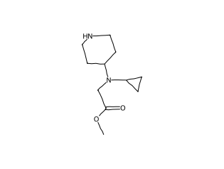 COC(=O)CN(C1CCNCC1)C1CC1